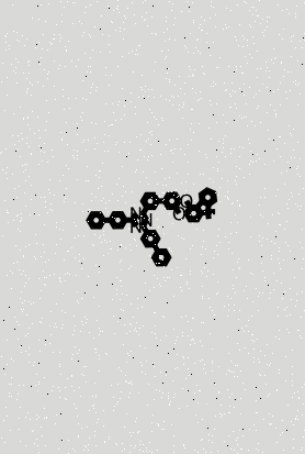 CC1(C)c2ccccc2-c2c1ccc1c2Oc2ccc(-c3cccc(-c4nc(-c5ccc(-c6ccccc6)cc5)nc(-c5ccc(-c6ccccc6)cc5)n4)c3)cc2O1